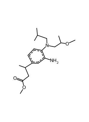 COC(=O)CC(C)c1ccc(N(CC(C)C)CC(C)OC)c(N)c1